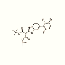 CC(C)(C)OC(=O)N(C(=O)OC(C)(C)C)c1nc2cc(-c3c(F)ccc(Br)c3F)ccn2n1